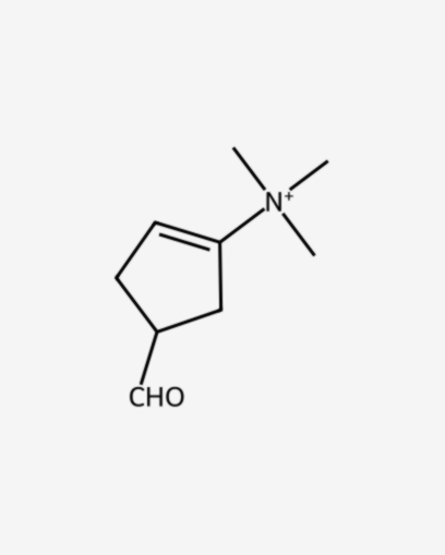 C[N+](C)(C)C1=CCC(C=O)C1